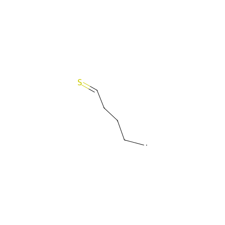 [CH2]CCCC=S